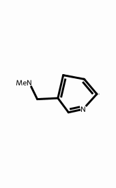 CNCc1cc[c]nc1